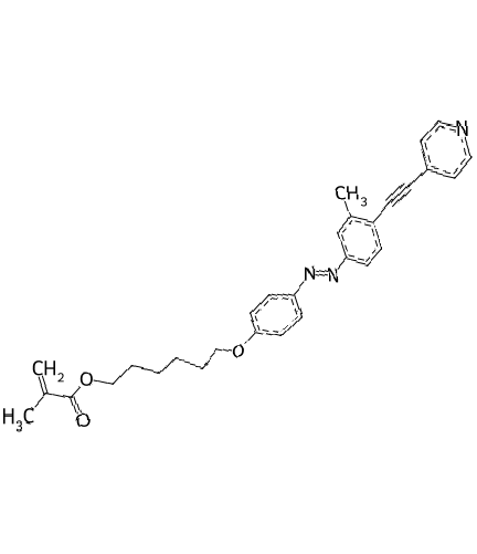 C=C(C)C(=O)OCCCCCCOc1ccc(/N=N/c2ccc(C#Cc3ccncc3)c(C)c2)cc1